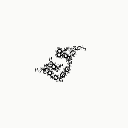 C=CC(=O)N1CCN(c2nc(OCCN3CCC(N4CCN(C(=O)C5CCN(Cc6ccc(-n7c(C(N)=O)nnc7-c7cc(C(C)C)c(O)cc7O)cc6)CC5)CC4)CC3)nc3c2CCN(c2cccc4cccc(Cl)c24)C3)C[C@@H]1CC#N